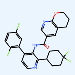 O=C(Nc1c(-c2cc(F)ccc2F)ccnc1C1CCC(F)(F)CC1)c1cnc2c(c1)CCCO2